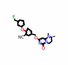 C[C@H]1CCn2c(cc(OCc3ccc(Oc4cccc(CF)c4)c(C#N)c3)nc2=O)N1C